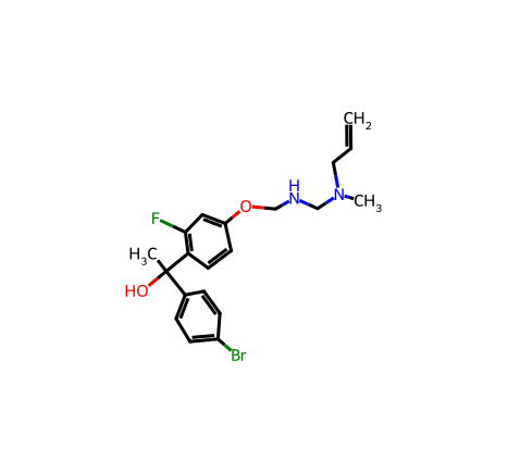 C=CCN(C)CNCOc1ccc(C(C)(O)c2ccc(Br)cc2)c(F)c1